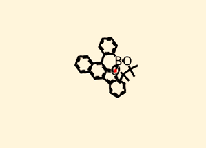 CC1(C)OB(c2ccccc2-c2c3ccccc3cc3c2oc2ccccc23)OC1(C)C